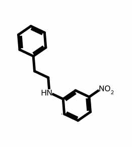 O=[N+]([O-])c1cc[c]c(NCCc2ccccc2)c1